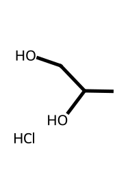 CC(O)CO.Cl